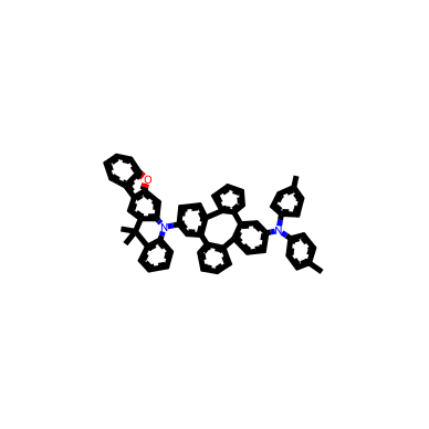 Cc1ccc(N(c2ccc(C)cc2)c2ccc3c(c2)-c2ccccc2-c2ccc(N4c5ccccc5C(C)(C)c5cc6c(cc54)oc4ccccc46)cc2-c2ccccc2-3)cc1